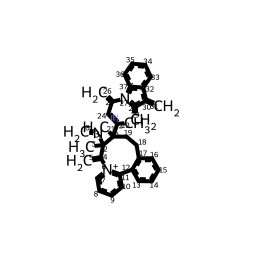 C=NC1(C)C(=C)[n+]2ccccc2-c2ccccc2CCC1(C)/C(C)=C/C(=C)n1c(=C)c(=C)c2ccccc21